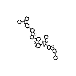 c1ccc(-c2ccc3oc4cc(-c5nc(-c6ccccc6)nc(-c6cccc7sc8c(-c9cccc%10c9oc9ccc(-c%11ccc%12c(c%11)c%11ccccc%11n%12-c%11ccccc%11)cc9%10)cccc8c67)n5)ccc4c3c2)cc1